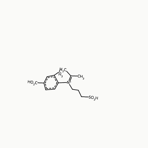 CC(C)=[N+](CCCS(=O)(=O)O)c1ccc(C(=O)O)cc1C